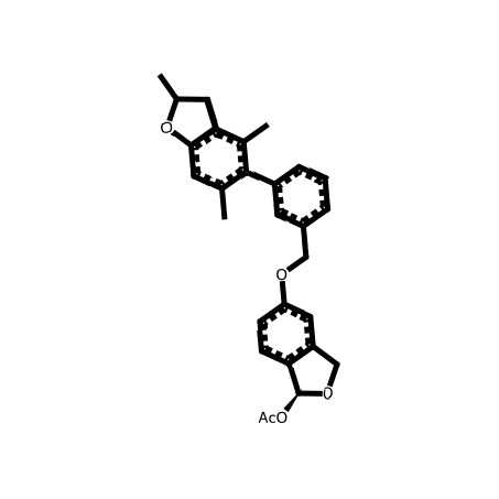 CC(=O)O[C@@H]1OCc2cc(OCc3cccc(-c4c(C)cc5c(c4C)CC(C)O5)c3)ccc21